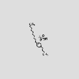 CCCCCCCCCCN1CCC(CCCC)CC1.CS(=O)(=O)O